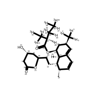 [2H]C([2H])([2H])[C@H]1C=C2C=C[C@H](C)[C@H](CCC3C[C@@H](O)CC(=O)O3)[C@H]2[C@@H](OC(=O)[C@@]([2H])(C([2H])([2H])[2H])C([2H])([2H])C([2H])([2H])[2H])C1